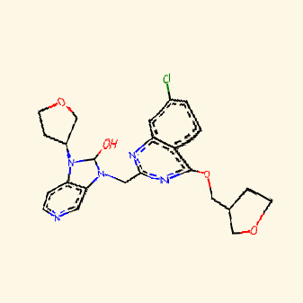 OC1N(Cc2nc(OCC3CCOC3)c3ccc(Cl)cc3n2)c2cnccc2N1[C@H]1CCOC1